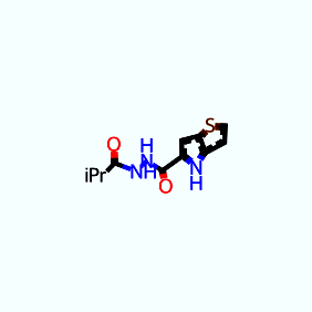 CC(C)C(=O)NNC(=O)c1cc2sccc2[nH]1